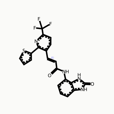 O=C(/C=C/c1ccc(C(F)(F)F)nc1-c1cccs1)Nc1cccc2[nH]c(=O)[nH]c12